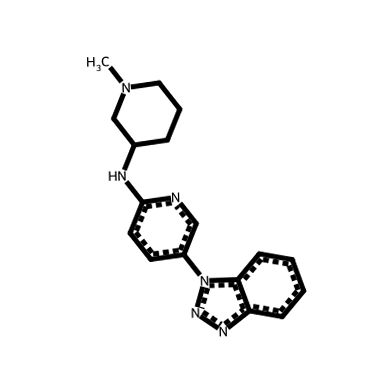 CN1CCCC(Nc2ccc(-n3nnc4ccccc43)cn2)C1